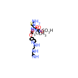 CC1(C)[C@H](NC(=O)/C(=N\OCCOc2ccc3nc(NCCCNCC4CNC4)ccc3c2)c2csc(N)n2)C(=O)N1OS(=O)(=O)O